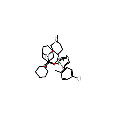 O=C([C@@H](Cc1ccc(Cl)cc1)NC1CCNCC1)N1C2CCC1CC(Cn1cncn1)(C1CCCCC1)C2